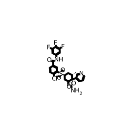 CCC1C[C@@H](S(=O)(=O)c2cc(C(=O)Nc3cc(F)c(F)c(F)c3)ccc2Cl)C[C@H](C)[C@@]1(OC(N)=O)c1cccnc1